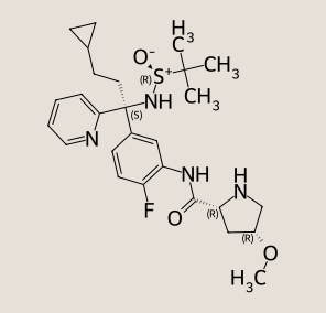 CO[C@H]1CN[C@@H](C(=O)Nc2cc([C@](CCC3CC3)(N[S@@+]([O-])C(C)(C)C)c3ccccn3)ccc2F)C1